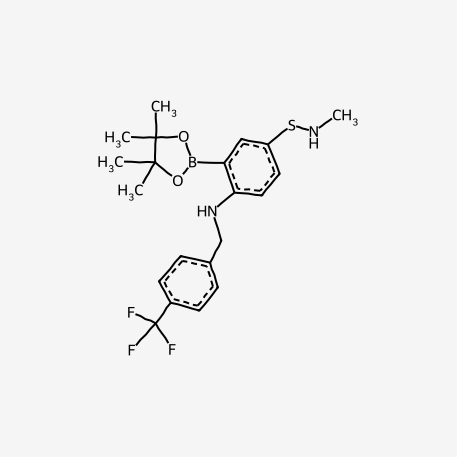 CNSc1ccc(NCc2ccc(C(F)(F)F)cc2)c(B2OC(C)(C)C(C)(C)O2)c1